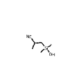 CC(C#N)C[Si](C)(C)O